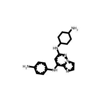 Nc1ccc(Nc2cc(NC3CCC(N)CC3)nn3ccnc23)cc1